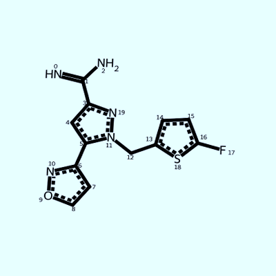 N=C(N)c1cc(-c2ccon2)n(Cc2ccc(F)s2)n1